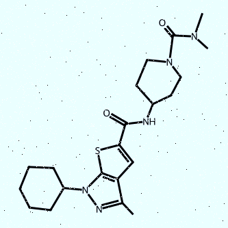 Cc1nn(C2CCCCC2)c2sc(C(=O)NC3CCN(C(=O)N(C)C)CC3)cc12